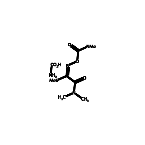 CNC(=O)ON=C(SC)C(=O)N(C)C.NC(=O)O